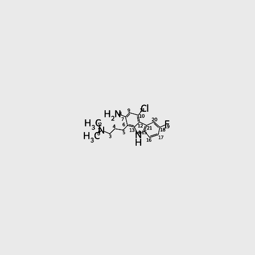 CN(C)CCCc1c(N)cc(Cl)c2c1[nH]c1ccc(F)cc12